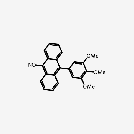 COc1cc(-c2c3ccccc3c(C#N)c3ccccc23)cc(OC)c1OC